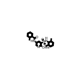 COc1ncc(NC(=O)c2ccccc2C)cc1S(=O)(=O)Nc1c(C)cccc1C